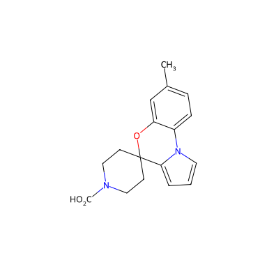 Cc1ccc2c(c1)OC1(CCN(C(=O)O)CC1)c1cccn1-2